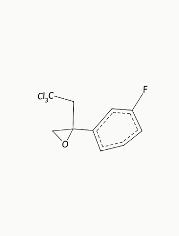 Fc1cccc(C2(CC(Cl)(Cl)Cl)CO2)c1